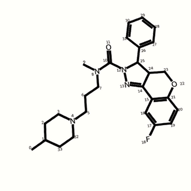 CC1CCN(CCCN(C)C(=O)N2N=C3c4cc(F)ccc4OCC3C2c2ccccc2)CC1